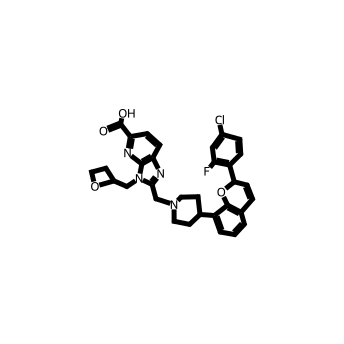 O=C(O)c1ccc2nc(CN3CCC(c4cccc5c4OC(c4ccc(Cl)cc4F)C=C5)CC3)n(CC3CCO3)c2n1